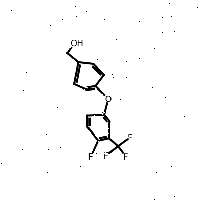 OCc1ccc(Oc2ccc(F)c(C(F)(F)F)c2)cc1